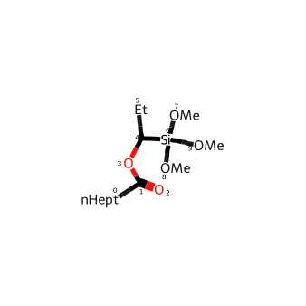 CCCCCCCC(=O)OC(CC)[Si](OC)(OC)OC